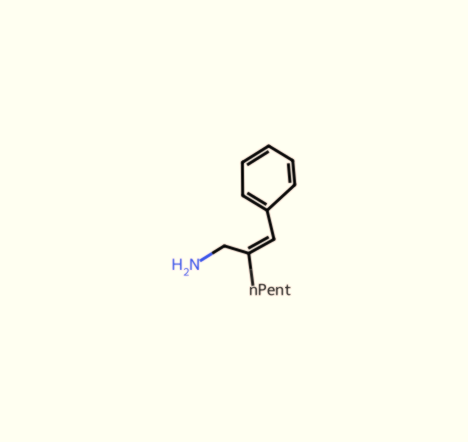 CCCCCC(=Cc1ccccc1)CN